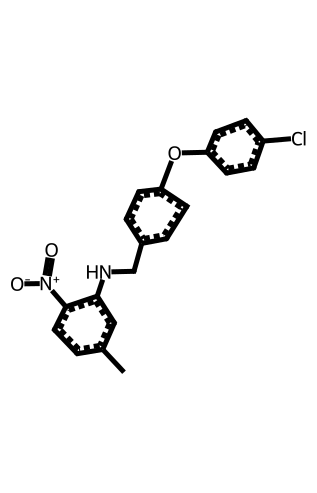 Cc1ccc([N+](=O)[O-])c(NCc2ccc(Oc3ccc(Cl)cc3)cc2)c1